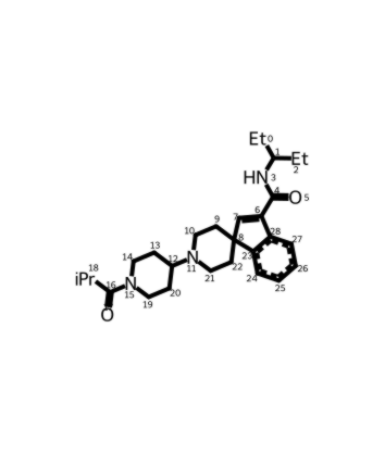 CCC(CC)NC(=O)C1=CC2(CCN(C3CCN(C(=O)C(C)C)CC3)CC2)c2ccccc21